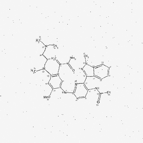 C=C(C(N)=O)c1cc(Nc2ncc(NC(=O)CC)c(-c3nn(C)c4ccccc34)n2)c(OC)cc1N(C)CCN(C)C